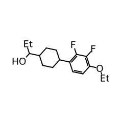 CCOc1ccc(C2CCC(C(O)CC)CC2)c(F)c1F